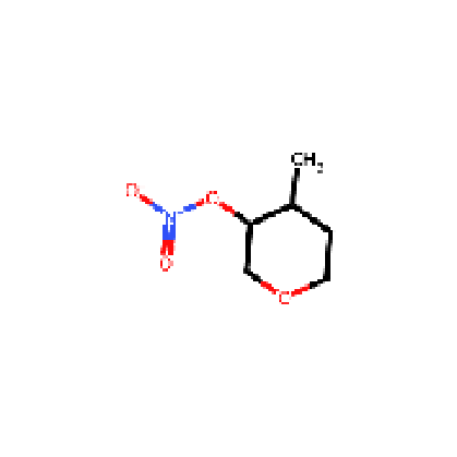 CC1CCOCC1O[N+](=O)[O-]